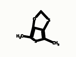 Cc1sc(C)c2c1OCS2